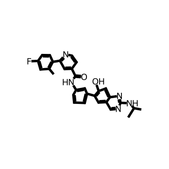 Cc1cc(F)ccc1-c1cc(C(=O)Nc2cccc(-c3cc4cnc(NC(C)C)nc4cc3O)c2)ccn1